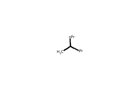 [CH2]C(C)C(C)[CH]CC